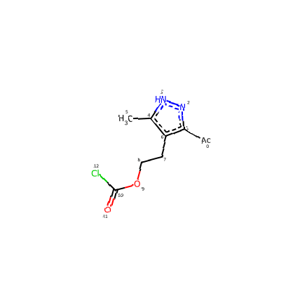 CC(=O)c1n[nH]c(C)c1CCOC(=O)Cl